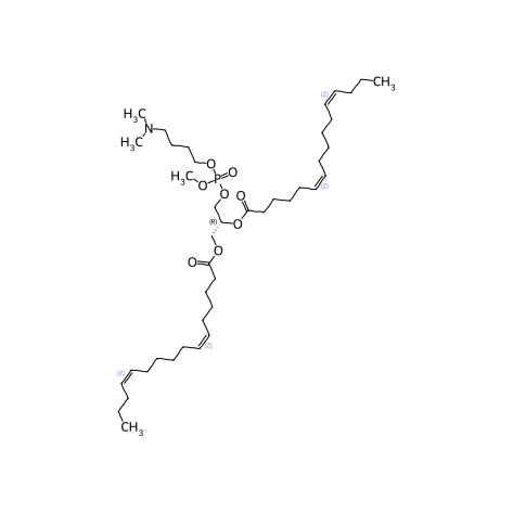 CCC/C=C\CCCC/C=C\CCCCC(=O)OC[C@H](COP(=O)(OC)OCCCCN(C)C)OC(=O)CCCC/C=C\CCCC/C=C\CCC